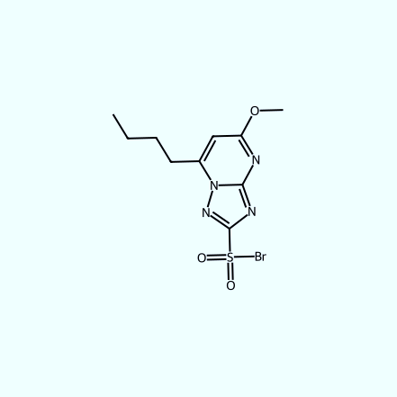 CCCCc1cc(OC)nc2nc(S(=O)(=O)Br)nn12